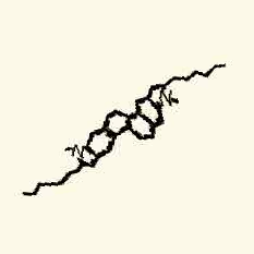 CCCCCCc1cc2cc3c(ccc4c5cc6cc(CCCCCC)n(C)c6cc5ccc34)cc2n1C